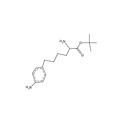 CC(C)(C)OC(=O)C(N)CCCCc1ccc(N)cc1